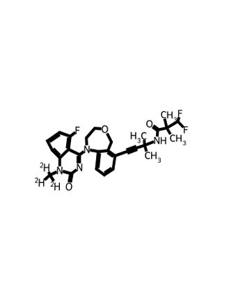 [2H]C([2H])([2H])n1c(=O)nc(N2CCOCc3c(C#CC(C)(C)NC(=O)C(C)(C)C(F)F)cccc32)c2c(F)cccc21